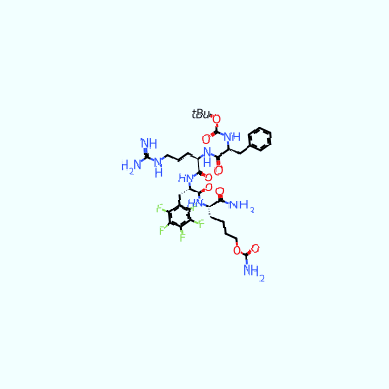 CC(C)(C)OC(=O)N[C@@H](Cc1ccccc1)C(=O)N[C@H](CCCNC(=N)N)C(=O)N[C@@H](Cc1c(F)c(F)c(F)c(F)c1F)C(=O)N[C@@H](CCCCOC(N)=O)C(N)=O